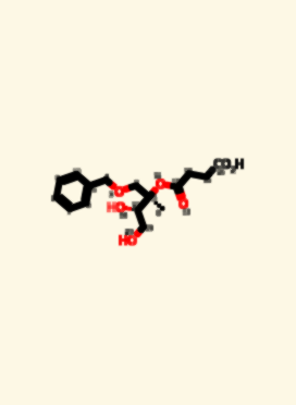 C[C@](COCc1ccccc1)(OC(=O)CCC(=O)O)[C@@H](O)CO